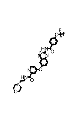 O=C(Nc1nnc2cc(Oc3ccnc(C(=O)NCCN4CCOCC4)c3)ccc2n1)c1ccc(OC(F)(F)F)cc1